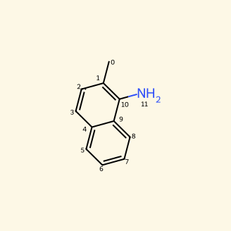 Cc1[c]cc2ccccc2c1N